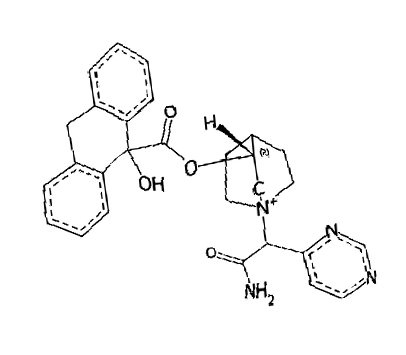 NC(=O)C(c1ccncn1)[N+]12CCC(CC1)[C@@H](OC(=O)C1(O)c3ccccc3Cc3ccccc31)C2